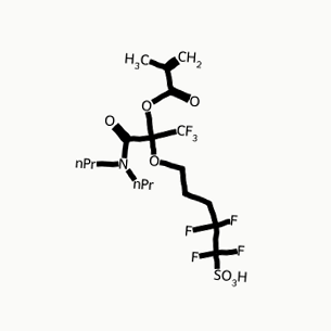 C=C(C)C(=O)OC(OCCCC(F)(F)C(F)(F)S(=O)(=O)O)(C(=O)N(CCC)CCC)C(F)(F)F